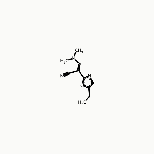 CCc1cnc(/C(C#N)=C/N(C)C)o1